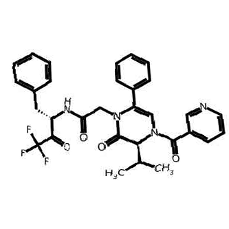 CC(C)[C@H]1C(=O)N(CC(=O)N[C@@H](Cc2ccccc2)C(=O)C(F)(F)F)C(c2ccccc2)=CN1C(=O)c1cccnc1